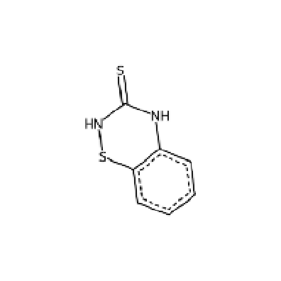 S=C1NSc2ccccc2N1